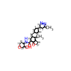 Cc1cc(-c2ccc(Cc3cc(C(=O)N[C@H]4CCOC[C@@H]4O)c4c(c3C)CCO4)cc2)cnn1